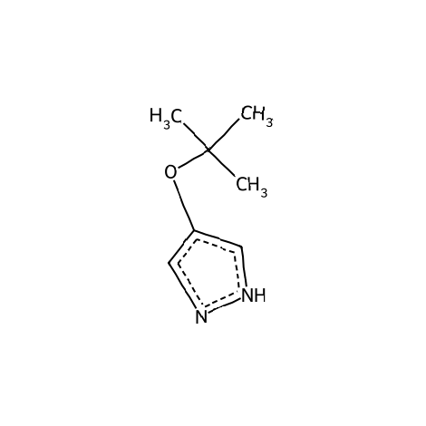 CC(C)(C)Oc1cn[nH]c1